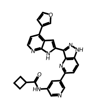 O=C(Nc1cncc(-c2ccc3[nH]nc(-c4cc5c(-c6ccoc6)ccnc5[nH]4)c3n2)c1)C1CCC1